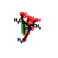 CCC(SCC(O)CO)C1OC(CC(SCC(O)CO)C2CC(C(C)SCC(O)CO)CC2C(F)(F)C(F)(F)C(F)(F)C(F)(F)C(F)(F)C(F)(F)F)C2C(=O)N(CCOCCOCCOC)C(=O)C12